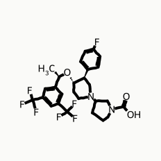 C[C@@H](O[C@H]1CCN(C2CCCN(C(=O)O)C2)C[C@@H]1c1ccc(F)cc1)c1cc(C(F)(F)F)cc(C(F)(F)F)c1